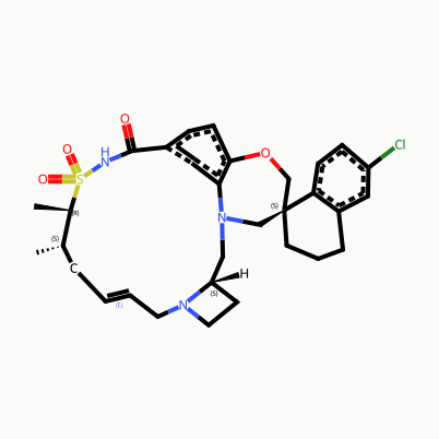 C[C@@H]1[C@@H](C)C/C=C/CN2CC[C@H]2CN2C[C@@]3(CCCc4cc(Cl)ccc43)COc3ccc(cc32)C(=O)NS1(=O)=O